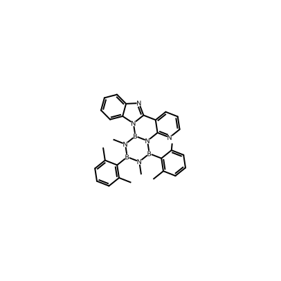 Cc1cccc(C)c1B1N(C)B(c2c(C)cccc2C)N2B(N1C)n1c(nc3ccccc31)-c1cccnc12